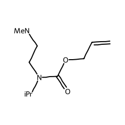 C=CCOC(=O)N(CCNC)C(C)C